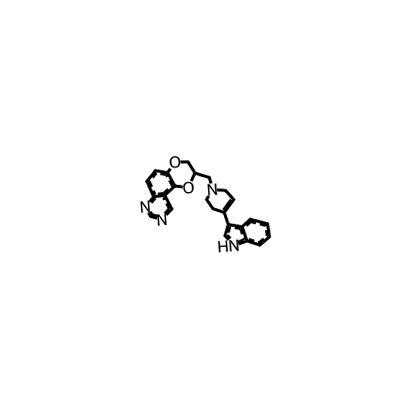 C1=C(c2c[nH]c3ccccc23)CCN(CC2COc3ccc4ncncc4c3O2)C1